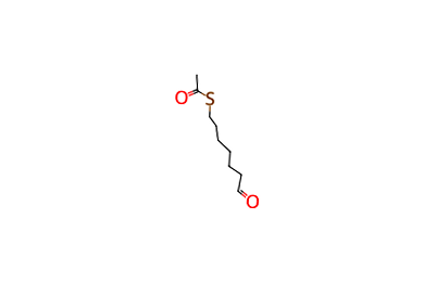 CC(=O)SCCCCCCC=O